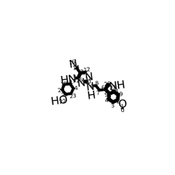 COc1ccc2c(CCNc3ncc(C#N)c(N[C@H]4CC[C@@H](O)CC4)n3)c[nH]c2c1